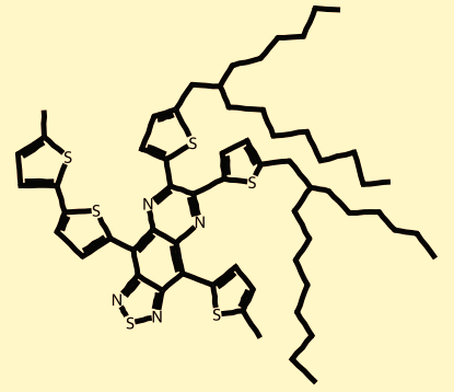 CCCCCCCCC(CCCCCC)Cc1ccc(-c2nc3c(-c4ccc(C)s4)c4nsnc4c(-c4ccc(-c5ccc(C)s5)s4)c3nc2-c2ccc(CC(CCCCCC)CCCCCCCC)s2)s1